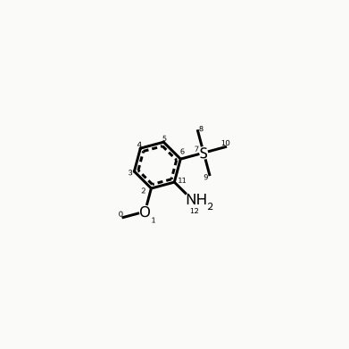 COc1cccc(S(C)(C)C)c1N